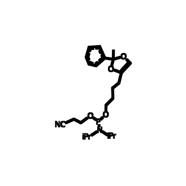 CC(C)N(C(C)C)P(OCCC#N)OCCCCC1=COC(C)(c2ccccc2)O1